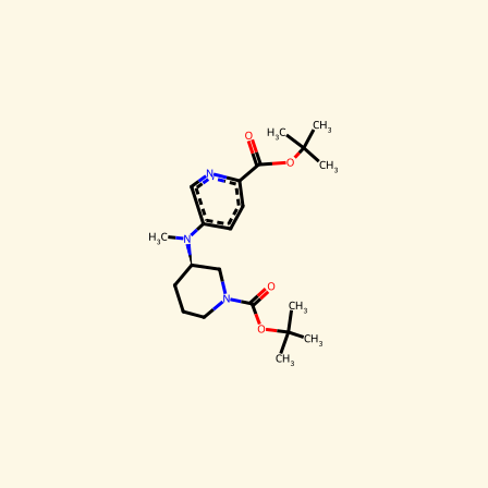 CN(c1ccc(C(=O)OC(C)(C)C)nc1)[C@@H]1CCCN(C(=O)OC(C)(C)C)C1